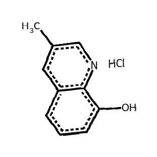 Cc1cnc2c(O)cccc2c1.Cl